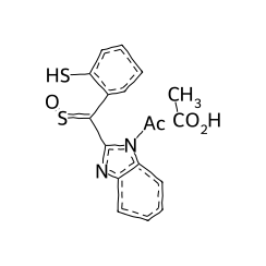 CC(=O)O.CC(=O)n1c(C(=S=O)c2ccccc2S)nc2ccccc21